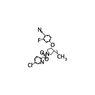 C[C@H]1C[C@@]12CN(S(=O)(=O)c1ccc(Cl)cn1)C[C@@H]2Oc1ccc(C#N)c(F)c1